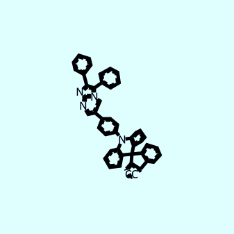 c1ccc(-c2nc3ncc(-c4ccc(N5c6ccccc6C6(c7ccccc7-c7ccccc76)c6ccccc65)cc4)cn3c2-c2ccccc2)cc1